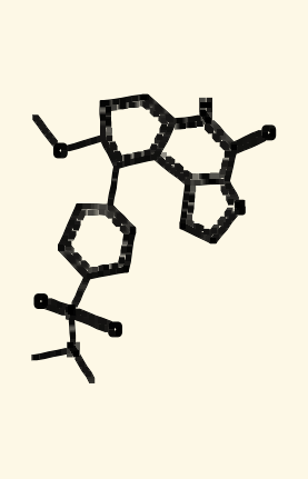 COc1ccc2[nH]c(=O)c3sccc3c2c1-c1ccc(S(=O)(=O)N(C)C)cc1